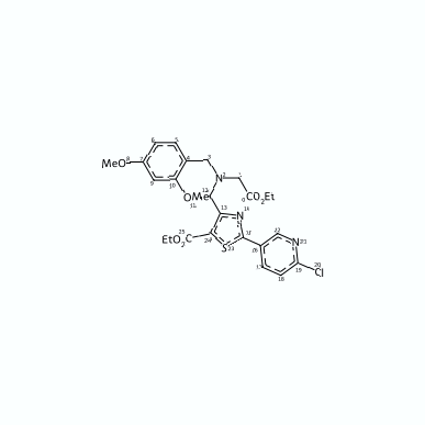 CCOC(=O)CN(Cc1ccc(OC)cc1OC)Cc1nc(-c2ccc(Cl)nc2)sc1C(=O)OCC